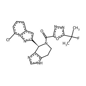 CC(C)(F)c1nnc(C(=O)N2CCc3[nH]cnc3[C@H]2c2cc3cccc(Cl)n3n2)o1